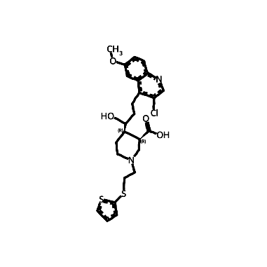 COc1ccc2ncc(Cl)c(CCC(O)[C@@H]3CCN(CCSc4cccs4)C[C@@H]3C(=O)O)c2c1